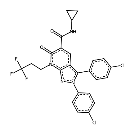 O=C(NC1CC1)c1cc2c(-c3ccc(Cl)cc3)n(-c3ccc(Cl)cc3)nc2n(CCC(F)(F)F)c1=O